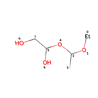 CCOC(C)OC(O)CO